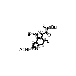 CCCCN(C)C(=O)c1nn(C(C)C)c2c1C(C)Cc1nc(NC(C)=O)sc1-2